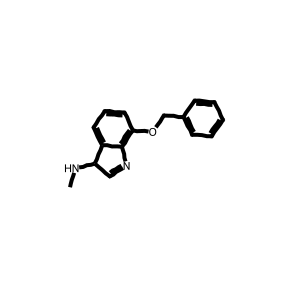 CNC1C=Nc2c(OCc3ccccc3)cccc21